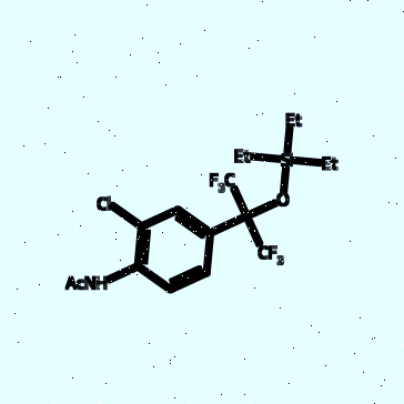 CC[Si](CC)(CC)OC(c1ccc(NC(C)=O)c(Cl)c1)(C(F)(F)F)C(F)(F)F